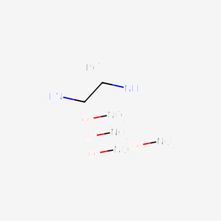 NCCN.O=[N+]([O-])[O-].O=[N+]([O-])[O-].O=[N+]([O-])[O-].O=[N+]([O-])[O-].[Pt+4]